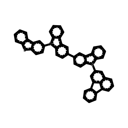 c1ccc2c(c1)-c1cccc3cc(-n4c5ccccc5c5cc(-c6ccc7c(c6)c6ccccc6n7-c6ccc7sc8ccccc8c7c6)ccc54)cc-2c13